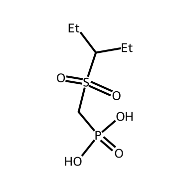 CCC(CC)S(=O)(=O)CP(=O)(O)O